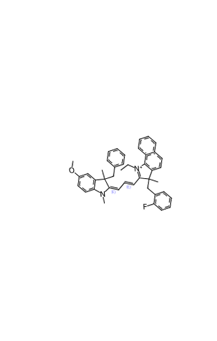 CC[N+]1=C(/C=C/C=C2/N(C)c3ccc(OC)cc3C2(C)Cc2ccccc2)C(C)(Cc2ccccc2F)c2ccc3ccccc3c21